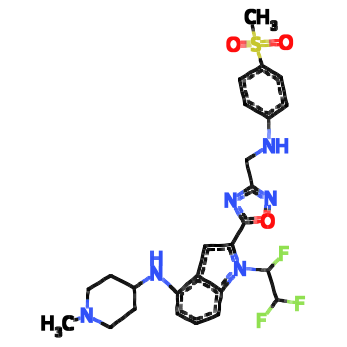 CN1CCC(Nc2cccc3c2cc(-c2nc(CNc4ccc(S(C)(=O)=O)cc4)no2)n3C(F)C(F)F)CC1